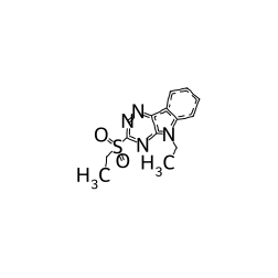 CCn1c2ccccc2c2nnc(S(=O)(=O)CC)nc21